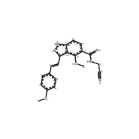 COc1ccc(/C=C/c2n[nH]c3ccc(C(=O)NCC#N)c(OC)c23)cc1